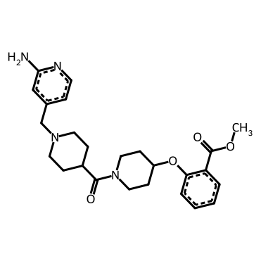 COC(=O)c1ccccc1OC1CCN(C(=O)C2CCN(Cc3ccnc(N)c3)CC2)CC1